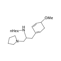 CCCCCCNC(CC1=CCC(OC)C=C1)CN1CCCC1